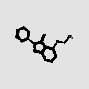 O=c1n(-c2ccccc2)nc2cccc(OCC(F)(F)F)n12